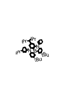 CC(C)c1ccc(N2c3ccc(C(C)(C)C)cc3B3c4cc(C(C)(C)C)ccc4N(C4CC5CCC4C5)c4cc(C(C(C)C)C(C)C)cc2c43)cc1